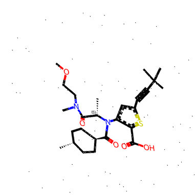 COCCN(C)C(=O)[C@H](C)N(c1cc(C#CC(C)(C)C)sc1C(=O)O)C(=O)[C@H]1CC[C@H](C)CC1